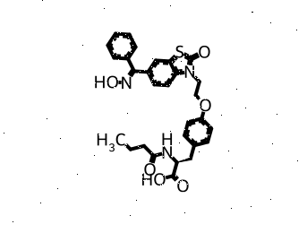 CCCC(=O)N[C@@H](Cc1ccc(OCCn2c(=O)sc3cc(C(=NO)c4ccccc4)ccc32)cc1)C(=O)O